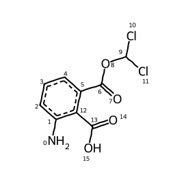 Nc1cccc(C(=O)OC(Cl)Cl)c1C(=O)O